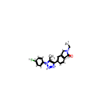 CC(=O)CN1Cc2cc(-c3nnn(-c4ccc(F)cc4)c3C)ccc2C1=O